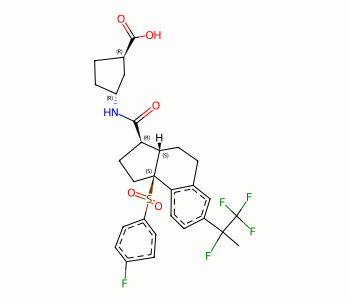 CC(F)(c1ccc2c(c1)CC[C@H]1[C@H](C(=O)N[C@@H]3CC[C@@H](C(=O)O)C3)CC[C@@]21S(=O)(=O)c1ccc(F)cc1)C(F)(F)F